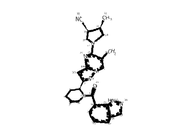 Cc1cn2nc([C@@H]3CCCCN3C(=O)c3cccc4cn[nH]c34)cc2nc1N1C[C@@H](C#N)[C@@H](C)C1